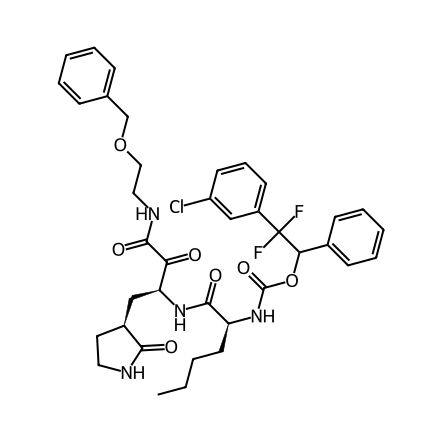 CCCC[C@H](NC(=O)OC(c1ccccc1)C(F)(F)c1cccc(Cl)c1)C(=O)N[C@@H](C[C@@H]1CCNC1=O)C(=O)C(=O)NCCOCc1ccccc1